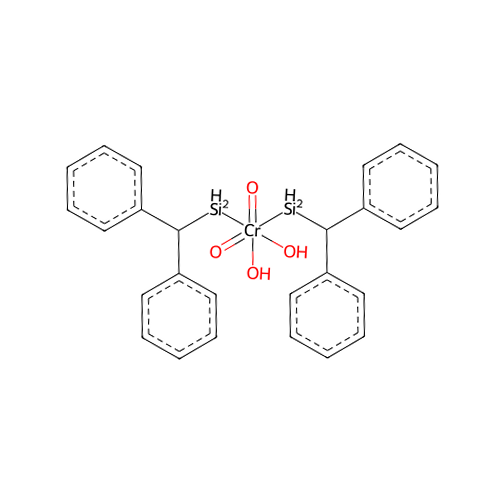 [O]=[Cr](=[O])([OH])([OH])([SiH2]C(c1ccccc1)c1ccccc1)[SiH2]C(c1ccccc1)c1ccccc1